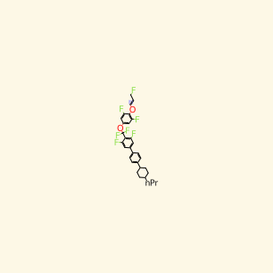 CCCC1CCC(c2ccc(-c3cc(F)c(C(F)(F)Oc4cc(F)c(O/C=C/CF)c(F)c4)c(F)c3)cc2)CC1